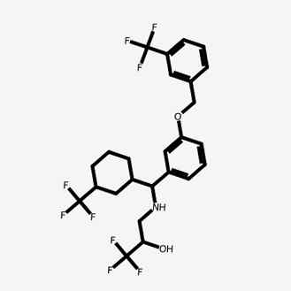 OC(CNC(c1cccc(OCc2cccc(C(F)(F)F)c2)c1)C1CCCC(C(F)(F)F)C1)C(F)(F)F